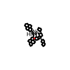 C1=C2c3ccccc3N(C3=NC(c4cc5ccc6cccc7ccc(c4)c5c67)NC(c4cc5ccc6cccc7ccc(c4)c5c67)=N3)C2C2C(=C1)N(c1ccc3ccccc3c1)c1ccccc12